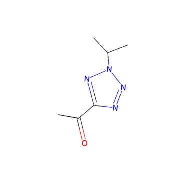 CC(=O)c1nnn(C(C)C)n1